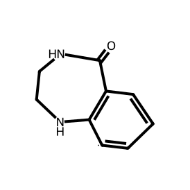 O=C1NCCNc2[c]cccc21